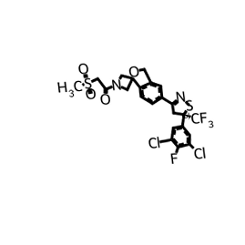 CS(=O)(=O)CC(=O)N1CC2(C1)OCc1cc(C3=NS[C@@](c4cc(Cl)c(F)c(Cl)c4)(C(F)(F)F)C3)ccc12